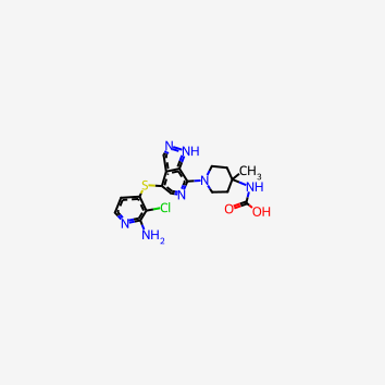 CC1(NC(=O)O)CCN(c2ncc(Sc3ccnc(N)c3Cl)c3cn[nH]c23)CC1